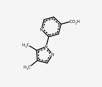 Cc1cnn(-c2cc(C(=O)O)ccn2)c1C